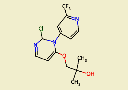 CC(C)(O)COC1=CC=NC(Cl)N1c1ccnc(C(F)(F)F)c1